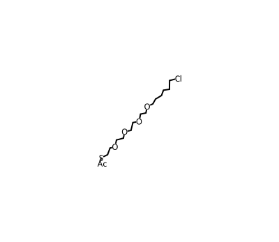 CC(=O)SCCOCCOCCOCCOCCCCCCCl